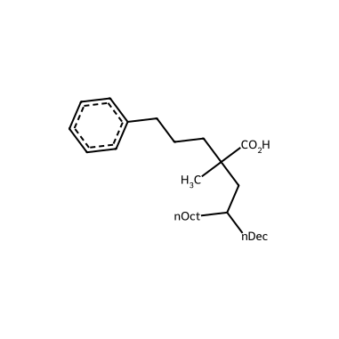 CCCCCCCCCCC(CCCCCCCC)CC(C)(CCCc1ccccc1)C(=O)O